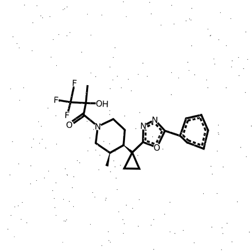 C[C@H]1CN(C(=O)C(C)(O)C(F)(F)F)CC[C@H]1C1(c2nnc(-c3ccccc3)o2)CC1